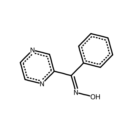 O/N=C(\c1ccccc1)c1cnccn1